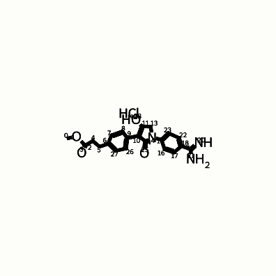 COC(=O)CCc1ccc(C2=C(O)CN(c3ccc(C(=N)N)cc3)C2=O)cc1.Cl